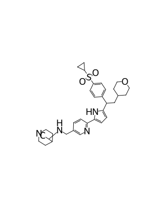 O=S(=O)(c1ccc(C(CC2CCOCC2)c2ccc(-c3ccc(CNC4CN5CCC4CC5)cn3)[nH]2)cc1)C1CC1